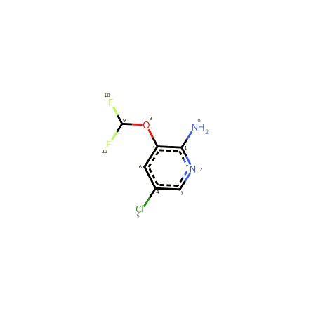 Nc1ncc(Cl)cc1OC(F)F